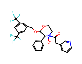 O=C(Cc1cccnc1)[N+]1([O-])CCOC(OCc2cc(C(F)(F)F)cc(C(F)(F)F)c2)C1c1ccccc1